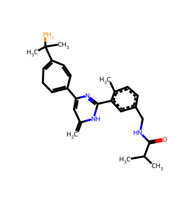 C=C1C=C(C2=CCC=C(C(C)(C)P)C=C2)N=C(c2cc(CNC(=O)C(C)C)ccc2C)N1